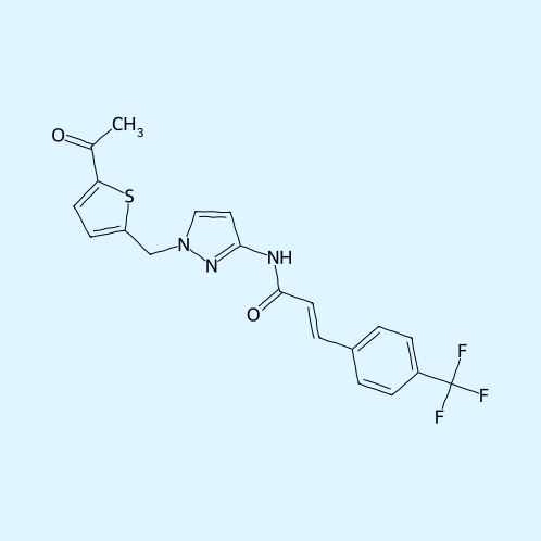 CC(=O)c1ccc(Cn2ccc(NC(=O)C=Cc3ccc(C(F)(F)F)cc3)n2)s1